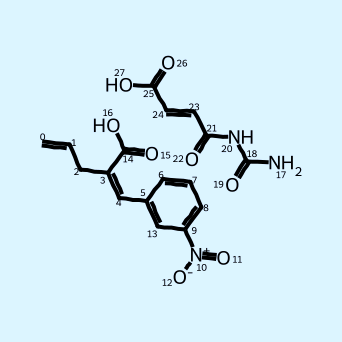 C=CCC(=Cc1cccc([N+](=O)[O-])c1)C(=O)O.NC(=O)NC(=O)C=CC(=O)O